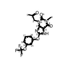 CC(=O)Cn1c(=O)n(C)c(=O)c2[nH]c(Oc3cccc(OC(F)(F)F)c3)nc21